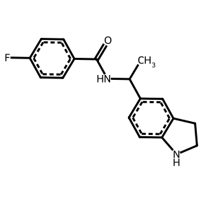 CC(NC(=O)c1ccc(F)cc1)c1ccc2c(c1)CCN2